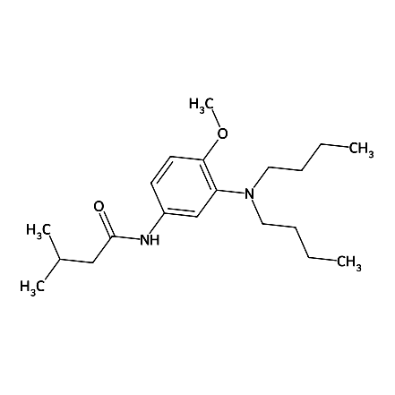 CCCCN(CCCC)c1cc(NC(=O)CC(C)C)ccc1OC